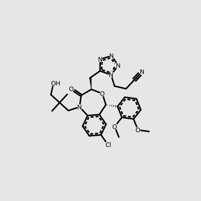 COc1cccc([C@H]2O[C@H](Cc3nnnn3CCC#N)C(=O)N(CC(C)(C)CO)c3ccc(Cl)cc32)c1OC